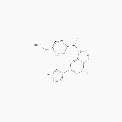 CC(c1ccc(NC=O)nc1)N1N=NC2C1=NC(c1cnn(C)c1)=CN2C